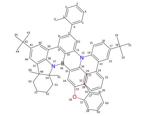 Cc1ccccc1-c1cc2c3c(c1)N(c1ccc(C(C)(C)C)cc1-c1ccccc1)c1cc4c(cc1B3N1c3c-2cc(C(C)(C)C)cc3C2(C)CCCCC12C)oc1ccccc14